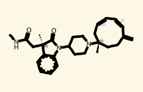 C=C1/C=C\C=C/C[C@@](C)(N2CCC(N3C(=O)[C@](C)(CC(=O)NC)c4ccccc43)CC2)CC1